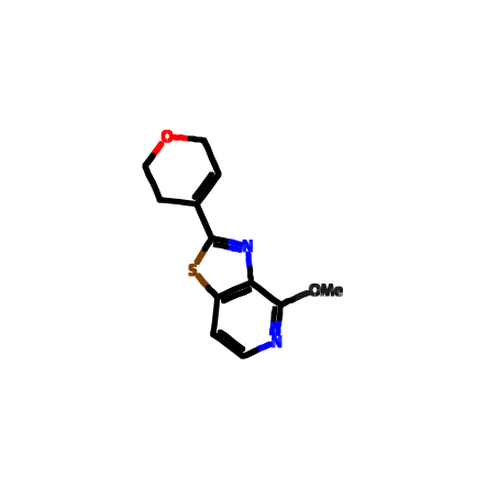 COc1nccc2sc(C3=CCOCC3)nc12